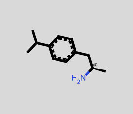 CC(C)c1ccc(C[C@@H](C)N)cc1